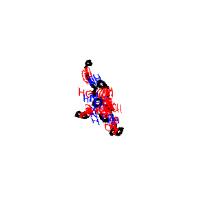 O=C(NCC[C@H](O)C(=O)N[C@@H]1C[C@H](NC(=O)OCc2ccccc2)[C@@H](O[C@H]2O[C@H](CNC(=O)OCc3ccccc3)C=C[C@H]2NC(=O)OCc2ccccc2)[C@H](O[C@@H]2O[C@H](CO)[C@@H](O[C@H]3O[C@H](CNC(=O)OCc4ccccc4)C=C[C@H]3NC(=O)OCc3ccccc3)[C@H]2O)[C@H]1O)OCc1ccccc1